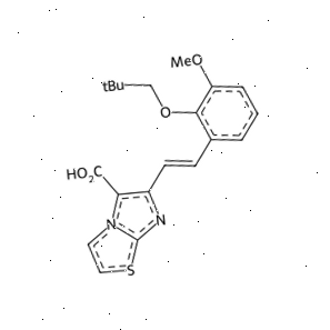 COc1cccc(C=Cc2nc3sccn3c2C(=O)O)c1OCC(C)(C)C